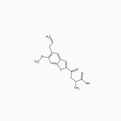 C=CCc1cc2cc(C(=O)CC(C)C(=O)O)sc2cc1OC